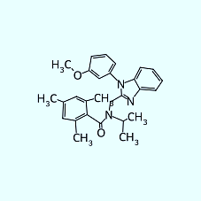 COc1cccc(-n2c(CN(C(=O)c3c(C)cc(C)cc3C)C(C)C)nc3ccccc32)c1